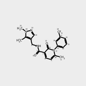 Cc1c(CNC(=O)c2ccc(C)n(-c3cccc(C(F)(F)F)c3)c2=O)cnn1C